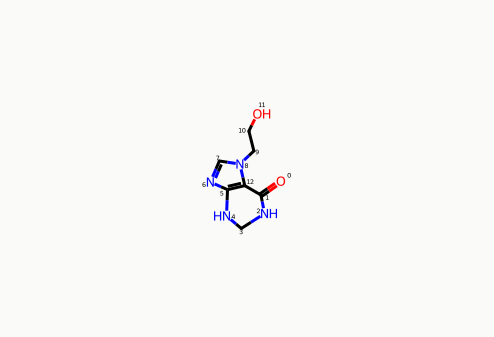 O=C1NCNc2ncn(CCO)c21